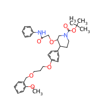 COc1ccccc1COCCCOc1ccc(C2CCN(C(=O)OC(C)(C)C)CC2OCC(=O)Nc2ccccc2)cc1